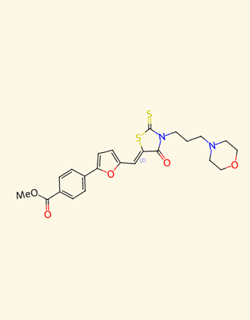 COC(=O)c1ccc(-c2ccc(/C=C3\SC(=S)N(CCCN4CCOCC4)C3=O)o2)cc1